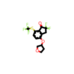 O=C1c2c(SC(F)(F)F)ccc(OC3CCOC3)c2CC1(F)F